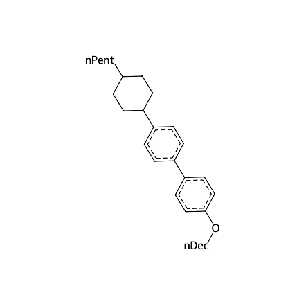 CCCCCCCCCCOc1ccc(-c2ccc(C3CCC(CCCCC)CC3)cc2)cc1